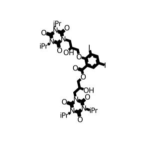 CC(C)n1c(=O)n(CC(O)COC(=O)c2cc(I)cc(I)c2OCC(O)Cn2c(=O)n(C(C)C)c(=O)n(C(C)C)c2=O)c(=O)n(C(C)C)c1=O